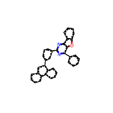 c1ccc(-c2nc(-c3cccc(-c4cc5ccccc5c5ccccc45)c3)nc3c2oc2ccccc23)cc1